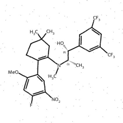 COc1cc(F)c([N+](=O)[O-])cc1C1=C(N(C)[C@@H](C)[C@H](O)c2cc(C(F)(F)F)cc(C(F)(F)F)c2)CC(C)(C)CC1